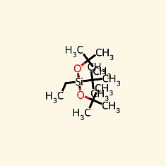 CC[Si](OC(C)(C)C)(OC(C)(C)C)C(C)(C)C